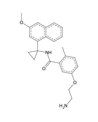 COc1cc(C2(NC(=O)c3cc(OCCN)ccc3C)CC2)c2ccccc2c1